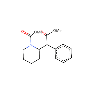 COC(=O)C(c1ccccc1)C1CCCCN1C(=O)OC